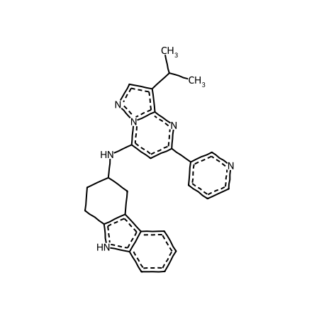 CC(C)c1cnn2c(NC3CCc4[nH]c5ccccc5c4C3)cc(-c3cccnc3)nc12